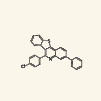 Clc1ccc(-c2nc3cc(-c4ccccc4)ccc3c3sc4ccccc4c23)cc1